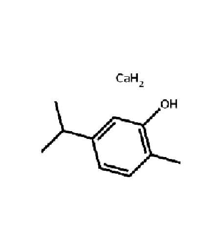 Cc1ccc(C(C)C)cc1O.[CaH2]